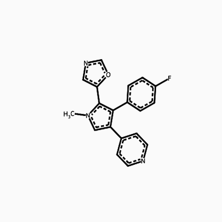 Cn1cc(-c2ccncc2)c(-c2ccc(F)cc2)c1-c1cnco1